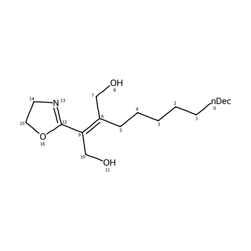 CCCCCCCCCCCCCCCC(CO)=C(CO)C1=NCCO1